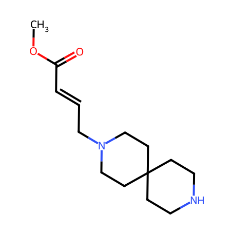 COC(=O)/C=C/CN1CCC2(CCNCC2)CC1